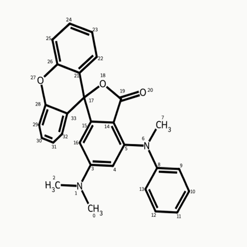 CN(C)c1cc(N(C)c2ccccc2)c2c(c1)C1(OC2=O)c2ccccc2Oc2ccccc21